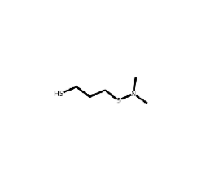 CN(C)SCCCS